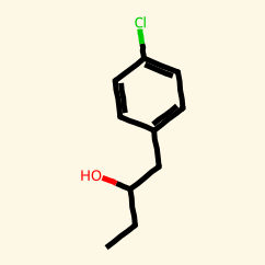 CCC(O)Cc1ccc(Cl)cc1